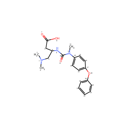 CN(C)CC(CC(=O)O)NC(=O)N(C)c1ccc(Oc2ccccc2)cc1